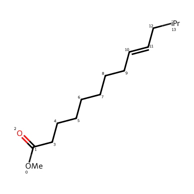 COC(=O)CCCCCCCC=CCC(C)C